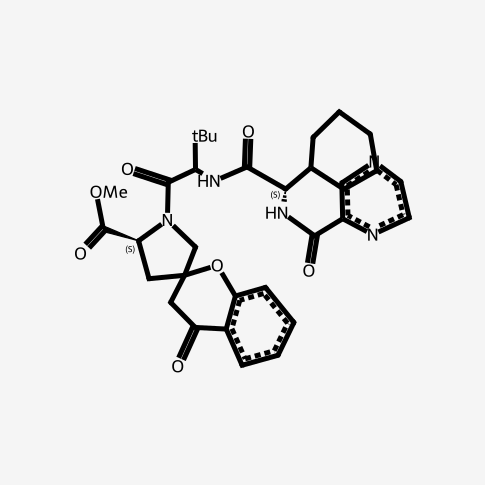 COC(=O)[C@@H]1CC2(CC(=O)c3ccccc3O2)CN1C(=O)C(NC(=O)[C@@H](NC(=O)c1cnccn1)C1CCCCC1)C(C)(C)C